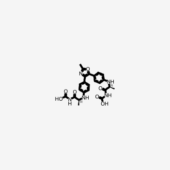 Cc1nc(-c2ccc(N[C@@H](C)C(=O)NC(=O)O)cc2)c(-c2ccc(N[C@@H](C)C(=O)NC(=O)O)cc2)o1